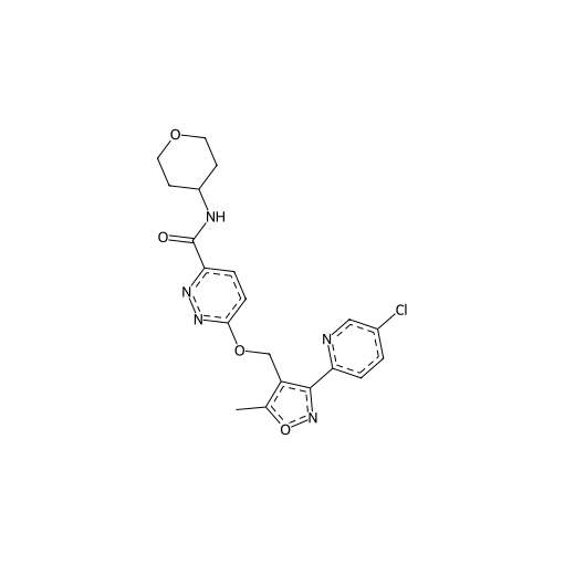 Cc1onc(-c2ccc(Cl)cn2)c1COc1ccc(C(=O)NC2CCOCC2)nn1